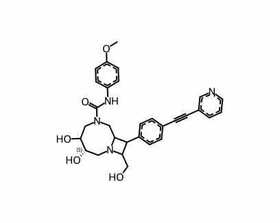 COc1ccc(NC(=O)N2CC(O)[C@@H](O)CN3C(CO)C(c4ccc(C#Cc5cccnc5)cc4)C3C2)cc1